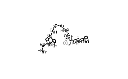 CC(C)NCCC(C)(C)NCCN(N)/C1=C(\N)c2ccccc2CN(C(=O)CCNC(=O)CCC(C)(C)OCCC(C)(C)OCCNC(=O)CCN(C)C(=O)C(=O)SCC(NC(=O)CNC(=O)C(Cc2c[nH]c3ccccc23)NC=O)C(=O)O)c2ccccc21